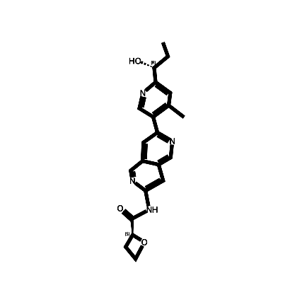 CC[C@@H](O)c1cc(C)c(-c2cc3cnc(NC(=O)[C@@H]4CCO4)cc3cn2)cn1